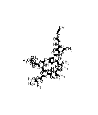 C#CCOC(=O)CNC(=O)C(=O)[C@H](CCC)NC(=O)[C@@H]1CCCN1C(=O)[C@@H](NC(=O)[C@@H](NC(=O)[C@H](CCC(=O)OC(C)(C)C)NC(=O)[C@H](CCC(=O)OC(C)(C)C)NC(C)=O)C(C)C)C(C)C